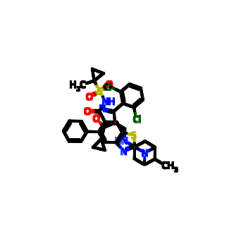 CC1C2CC(NCc3c(-c4c(Cl)cccc4Cl)noc3C3CC3)CC1N2c1nc2cc(-c3ccccc3)c(C(=O)NS(=O)(=O)C3(C)CC3)cc2s1